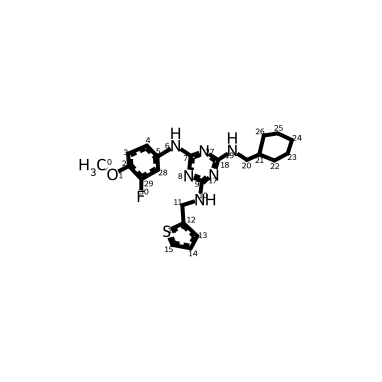 COc1ccc(Nc2nc(NCc3cccs3)nc(NCC3CCCCC3)n2)cc1F